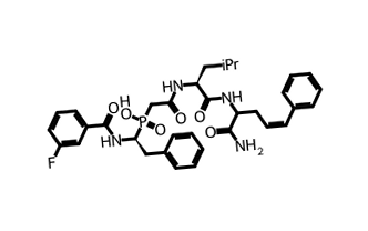 CC(C)C[C@H](NC(=O)CP(=O)(O)[C@@H](Cc1ccccc1)NC(=O)c1cccc(F)c1)C(=O)NC(C/C=C\c1ccccc1)C(N)=O